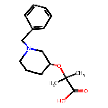 CC(C)(OC1CCCN(Cc2ccccc2)C1)C(=O)O